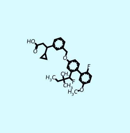 CCC(C)(C)C(F)c1cc(OCc2cccc(C(CC(=O)O)C3CC3)c2)ccc1-c1cc(OC)ccc1F